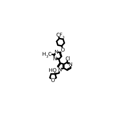 Cc1nc(OC2CCC(C(F)(F)F)CC2)cc(-c2cn(C[C@]3(O)CCOC3)c3ccnc(Cl)c23)n1